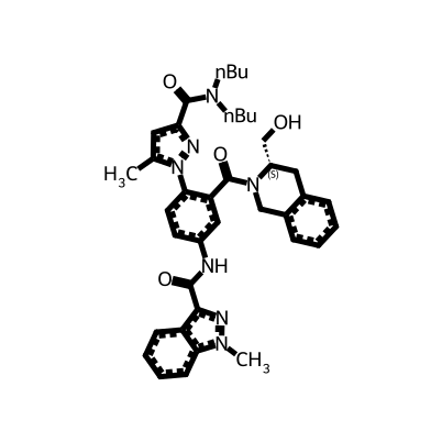 CCCCN(CCCC)C(=O)c1cc(C)n(-c2ccc(NC(=O)c3nn(C)c4ccccc34)cc2C(=O)N2Cc3ccccc3C[C@H]2CO)n1